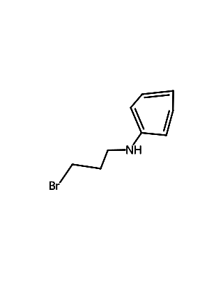 BrCCCNc1ccccc1